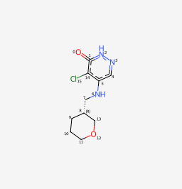 O=c1[nH]ncc(NC[C@H]2CCCOC2)c1Cl